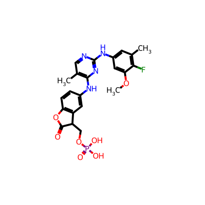 COc1cc(Nc2ncc(C)c(Nc3ccc4c(c3)C(COP(=O)(O)O)C(=O)O4)n2)cc(C)c1F